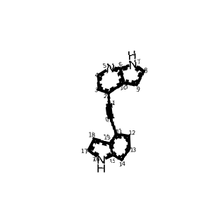 C(#Cc1ccnc2[nH]ccc12)c1cccc2[nH]ccc12